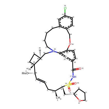 CO[C@H]1/C=C/C[C@H](C)[C@H](C[C@@H]2CCCO2)S(=O)(=O)NC(=O)c2ccc3c(c2)N(CCCCc2cc(Cl)ccc2CO3)C[C@@H]2CC[C@H]21